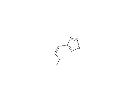 CC/C=[C]\c1csnn1